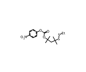 CCSSC(C)(C)CC(C)(C)OC(=O)Oc1ccc([N+](=O)[O-])cc1